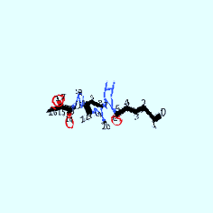 CCCCCC(=O)Nc1cc(N(C)C(=O)C2CO2)cn1C